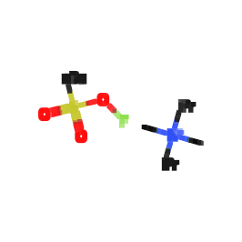 CC(C)[N+](C)(C)C(C)C.CCCCS(=O)(=O)OF